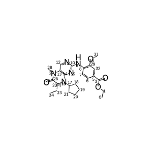 CCOC(=O)c1ccc(Nc2ncc3c(n2)N(C2CCCC2)[C@H](CC)C(=O)N3C)c(OC)c1